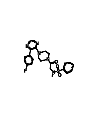 CN(CC(=O)N1CCN(c2nccnc2-c2ccc(F)cc2)CC1)S(=O)(=O)c1ccccc1